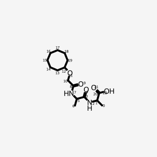 CC(NC(=O)C(C)NC(=O)COC1CCCCCCC1)C(=O)O